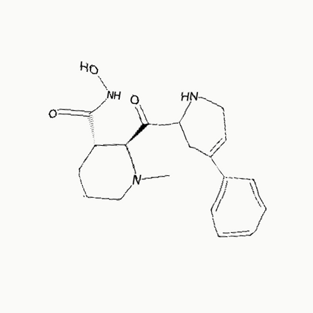 CN1C[CH]C[C@H](C(=O)NO)[C@H]1C(=O)C1CC(c2ccccc2)=CCN1